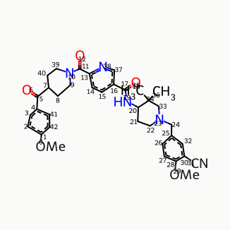 COc1ccc(C(=O)C2CCN(C(=O)c3ccc(C(=O)NC4CCN(Cc5ccc(OC)c(C#N)c5)CC4(C)C)cn3)CC2)cc1